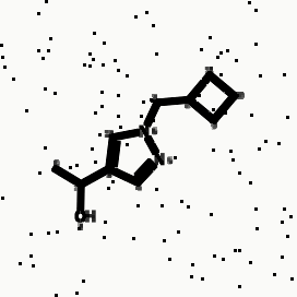 CC(O)c1cnn(CC2CCC2)c1